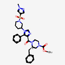 Cn1cc(S(=O)(=O)N2CCCC(n3cnc(C(=O)N4CCN(C(=O)OC(C)(C)C)C[C@H]4Cc4ccccc4)c3-c3ccccc3)C2)cn1